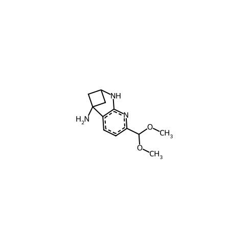 COC(OC)c1ccc2c(n1)NC1CC2(N)C1